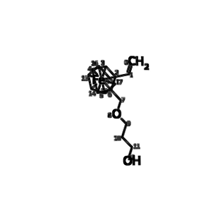 C=C[C]12[CH]3[CH]4[CH]5[C]1(COCCCO)[Fe]43521678[CH]2[CH]1[CH]6[CH]7[CH]28